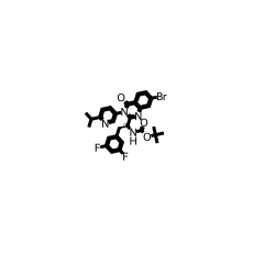 CC(C)c1ccc(-n2c([C@H](Cc3cc(F)cc(F)c3)NC(=O)OC(C)(C)C)nc3cc(Br)ccc3c2=O)cn1